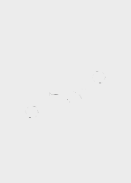 Cc1cccc(COC(=O)[C@@H]2CC/C(=N/OCc3ccccc3)CN2)c1